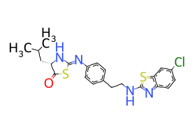 CC(C)C[C@@H]1N/C(=N/c2ccc(CCNc3nc4ccc(Cl)cc4s3)cc2)SC1=O